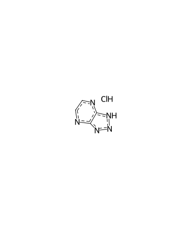 Cl.c1cnc2[nH]nnc2n1